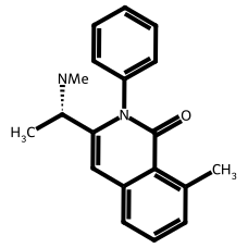 CN[C@@H](C)c1cc2cccc(C)c2c(=O)n1-c1ccccc1